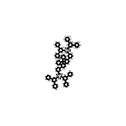 c1ccc(-c2cc(-c3ccccc3)cc(-c3nc(-c4cccc(-c5cccc(C6(c7cccc(-c8cccc(-c9nc(-c%10cc(-c%11ccccc%11)cc(-c%11ccccc%11)c%10)nc(-c%10cc(-c%11ccccc%11)cc(-c%11ccccc%11)c%10)n9)c8)c7)c7ccccc7Sc7ccccc76)c5)c4)nc(-c4cc(-c5ccccc5)cc(-c5ccccc5)c4)n3)c2)cc1